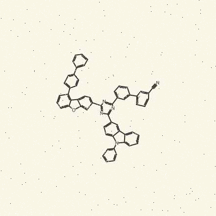 N#Cc1cccc(-c2cccc(-c3nc(-c4ccc5c(c4)oc4cccc(-c6ccc(-c7ccccc7)cc6)c45)nc(-c4ccc5c(c4)c4ccccc4n5-c4ccccc4)n3)c2)c1